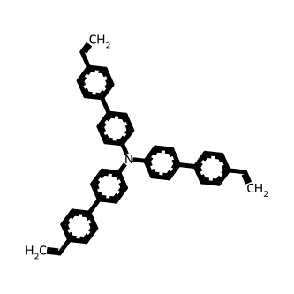 C=Cc1ccc(-c2ccc(N(c3ccc(-c4ccc(C=C)cc4)cc3)c3ccc(-c4ccc(C=C)cc4)cc3)cc2)cc1